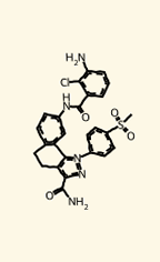 CS(=O)(=O)c1ccc(-n2nc(C(N)=O)c3c2-c2cc(NC(=O)c4cccc(N)c4Cl)ccc2CC3)cc1